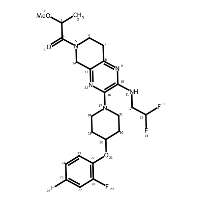 COC(C)C(=O)N1CCc2nc(NCC(F)F)c(N3CCC(Oc4ccc(F)cc4F)CC3)nc2C1